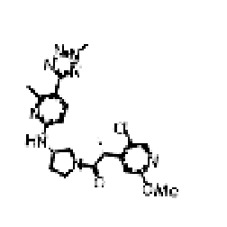 COc1cc([C@@H](C)C(=O)N2CC[C@H](Nc3ccc(-c4nnn(C)n4)c(C)n3)C2)c(Cl)cn1